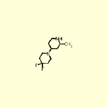 CC1CC(N2CCC(F)(F)CC2)CCN1